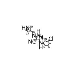 N#Cc1c(Nc2cccc(Cl)c2)n[nH]c1/N=C/c1cc[nH]c1